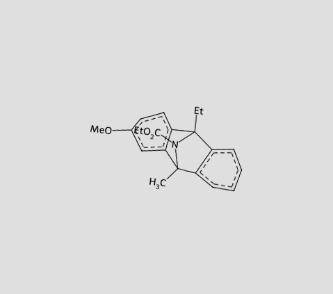 CCOC(=O)N1C2(C)c3ccccc3C1(CC)c1ccc(OC)cc12